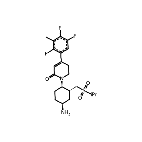 Cc1c(F)c(F)cc(C2=CC(=O)N([C@@H]3CC[C@H](N)C[C@H]3CS(=O)(=O)C(C)C)CC2)c1F